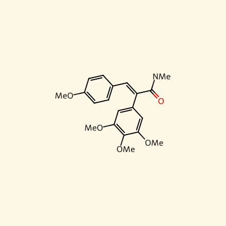 CNC(=O)/C(=C/c1ccc(OC)cc1)c1cc(OC)c(OC)c(OC)c1